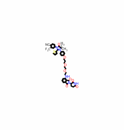 CC1(C)C(=O)N(c2ccc(C#N)c(C(F)(F)F)c2)C(c2cccs2)N1c1ccc(OCCCOCCOCCNc2cccc3c2C(=O)N(C2CCC(=O)NC2=O)C3=O)cc1